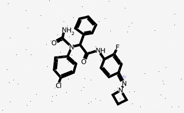 NC(=O)N(c1ccc(Cl)cc1)C(C(=O)NC1C=C/C(=N\N2CCC2)C=C1F)c1ccccc1